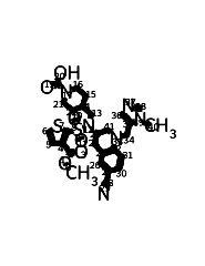 COC(=O)c1ccsc1S(=O)(=O)N(CC1CCN(C(=O)O)CC1)C1Cc2cc(C#N)ccc2N(Cc2cncn2C)C1